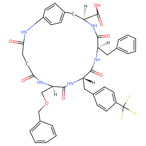 O=C1CCC(=O)N[C@H](COCc2ccccc2)C(=O)N[C@@H](Cc2ccc(C(F)(F)F)cc2)C(=O)N[C@H](Cc2ccccc2)C(=O)N[C@H](C(=O)O)Cc2ccc(cc2)N1